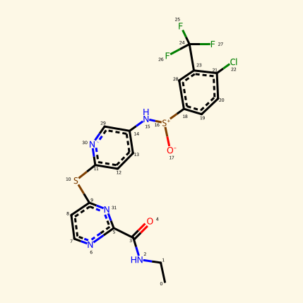 CCNC(=O)c1nccc(Sc2ccc(N[S+]([O-])c3ccc(Cl)c(C(F)(F)F)c3)cn2)n1